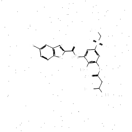 CCS(=O)(=O)c1cc(NC(=O)CC(C)C)c(O)c(NC(=O)c2cc3cc(Cl)ccc3[nH]2)c1